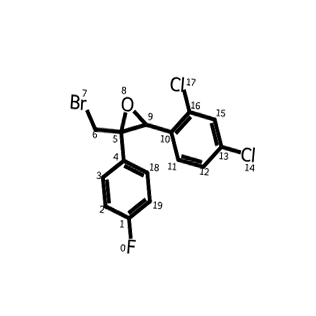 Fc1ccc(C2(CBr)OC2c2ccc(Cl)cc2Cl)cc1